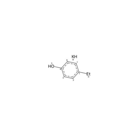 CCc1ccc(O)cc1.[KH]